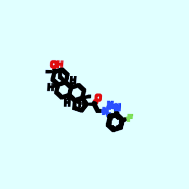 CC[C@]12CC[C@@](C)(O)C[C@H]1CC[C@H]1[C@H]3CC[C@H](C(=O)Cn4nnc5c(F)cccc54)[C@@]3(C)CC[C@@H]12